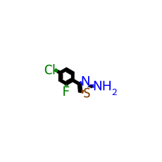 Nc1nc(-c2ccc(Cl)cc2F)cs1